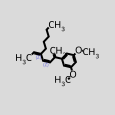 C=C(/C=C\C(=C/C)CCCCC)c1cc(OC)cc(OC)c1